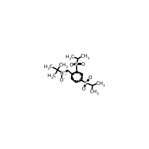 CC(C)S(=O)(=O)c1ccc(/C=[N+](\[O-])C(C)(C)C)c(S(=O)(=O)C(C)C)c1